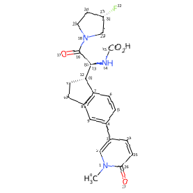 Cn1cc(-c2ccc3c(c2)CC[C@@H]3[C@H](NC(=O)O)C(=O)N2CC[C@H](F)C2)ccc1=O